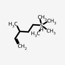 C=CC(C)CC[SH](C)(C)(C)C